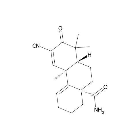 [C-]#[N+]C1=C[C@]2(C)C3=CCCC[C@]3(C(N)=O)CC[C@H]2C(C)(C)C1=O